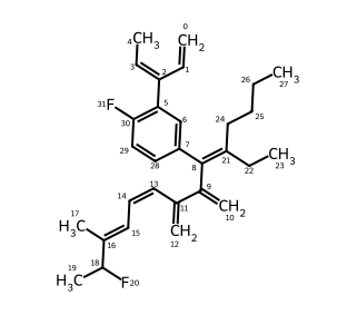 C=C/C(=C\C)c1cc(/C(C(=C)C(=C)/C=C\C=C(/C)C(C)F)=C(/CC)CCCC)ccc1F